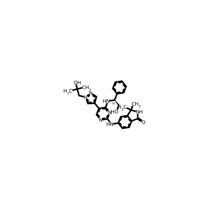 CC(C)(O)Cn1cc(-c2cnc(Nc3ccc4c(c3)C(C)(C)NC4=O)nc2N[C@H](CO)c2ccccc2)cn1